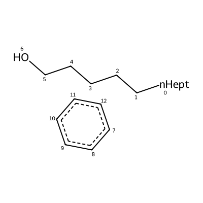 CCCCCCCCCCCCO.c1ccccc1